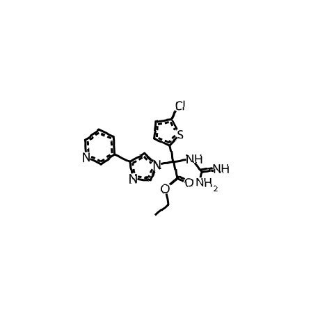 CCOC(=O)C(NC(=N)N)(c1ccc(Cl)s1)n1cnc(-c2cccnc2)c1